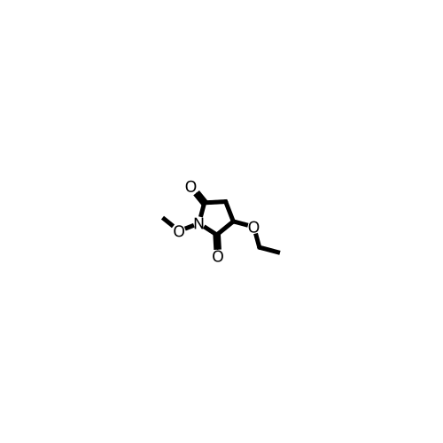 CCOC1CC(=O)N(OC)C1=O